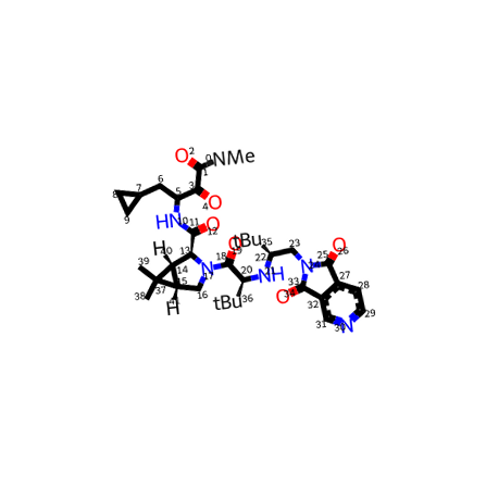 CNC(=O)C(=O)C(CC1CC1)NC(=O)[C@@H]1[C@@H]2[C@H](CN1C(=O)[C@@H](N[C@H](CN1C(=O)c3ccncc3C1=O)C(C)(C)C)C(C)(C)C)C2(C)C